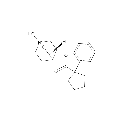 C[N+]12CCC(CC1)[C@@H](OC(=O)C1(c3ccccc3)CCCC1)C2